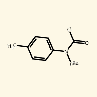 CCCCN(C(=O)Cl)c1ccc(C)cc1